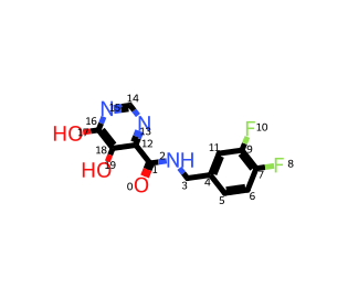 O=C(NCc1ccc(F)c(F)c1)c1ncnc(O)c1O